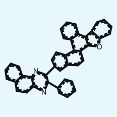 c1ccc(-c2nc3ccc4ccccc4c3nc2-c2ccc3c(ccc4c5oc6ccccc6c5c5ccccc5c34)c2)cc1